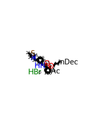 Br.CCCCCCCCCCCCCCOc1c(C(C)=O)cccc1C(=O)Nc1cccc(CN2C=C(C)SC2)c1